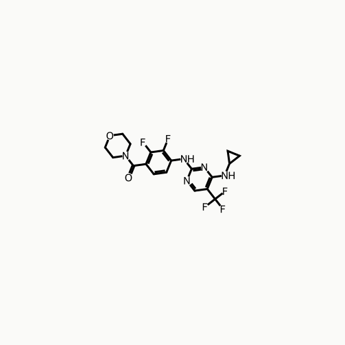 O=C(c1ccc(Nc2ncc(C(F)(F)F)c(NC3CC3)n2)c(F)c1F)N1CCOCC1